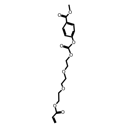 C=CC(=O)OCCOCCOCCOC(=O)Oc1ccc(C(=O)OC)cc1